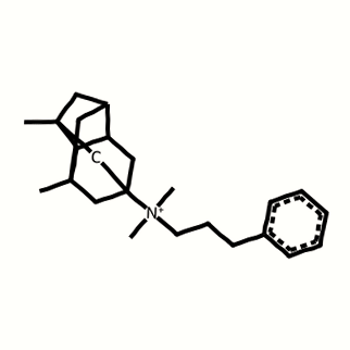 CC12CC3CC4(C)CC([N+](C)(C)CCCc5ccccc5)(CC3C14)C2